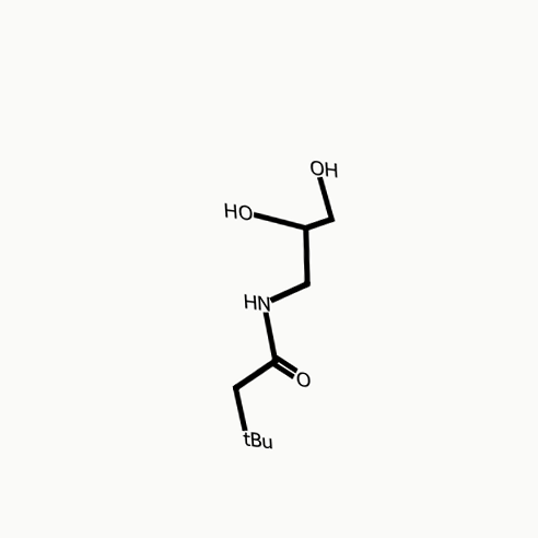 CC(C)(C)CC(=O)NCC(O)CO